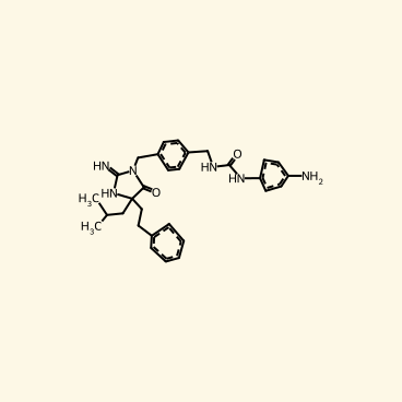 CC(C)CC1(CCc2ccccc2)NC(=N)N(Cc2ccc(CNC(=O)Nc3ccc(N)cc3)cc2)C1=O